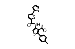 CC(=O)c1c(NC(=O)c2ccc(-c3cccs3)s2)csc1-c1ccc(C)cc1